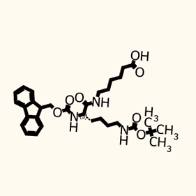 CC(C)(C)OC(=O)NCCCC[C@H](NC(=O)OCC1c2ccccc2-c2ccccc21)C(=O)NCCCCCC(=O)O